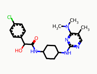 Cc1cnc(NC2CCC(NC(=O)C(O)c3ccc(Cl)cc3)CC2)nc1N(C)C